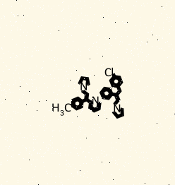 Cc1ccc(/C(=C\CN2CCCC2)c2ccccn2)cc1.Clc1ccc(CC(=CCN2CCCC2)c2ccccc2)cc1